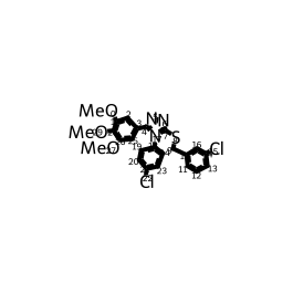 COc1cc(-c2nnc(SCc3cccc(Cl)c3)n2-c2ccc(Cl)cc2)cc(OC)c1OC